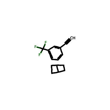 C#Cc1cccc(C(F)(F)F)c1.C1CC2CCC12